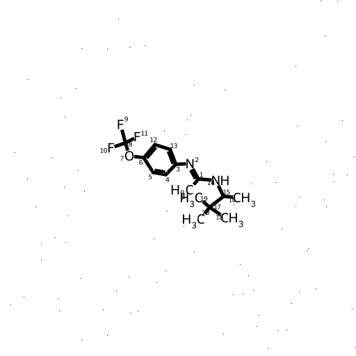 C/C(=N\c1ccc(OC(F)(F)F)cc1)NC(C)C(C)(C)C